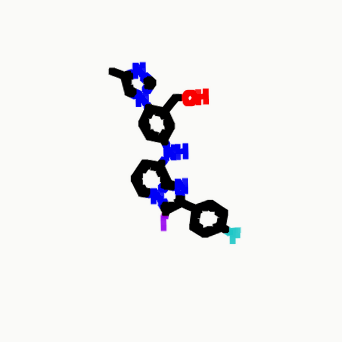 Cc1cn(-c2ccc(Nc3cccn4c(I)c(-c5ccc(F)cc5)nc34)cc2CO)cn1